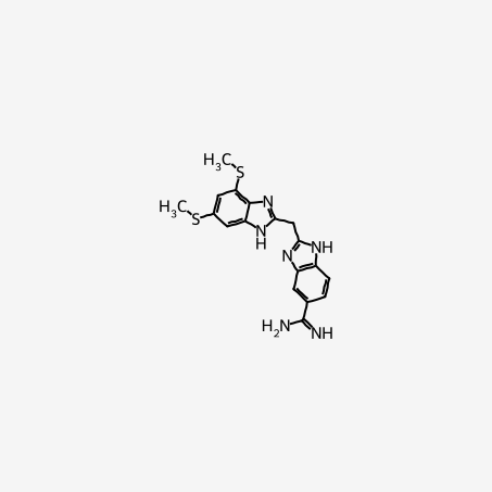 CSc1cc(SC)c2nc(Cc3nc4cc(C(=N)N)ccc4[nH]3)[nH]c2c1